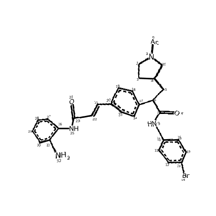 CC(=O)N1CCC(CC(C(=O)Nc2ccc(Br)cc2)c2ccc(/C=C/C(=O)Nc3ccccc3N)cc2)C1